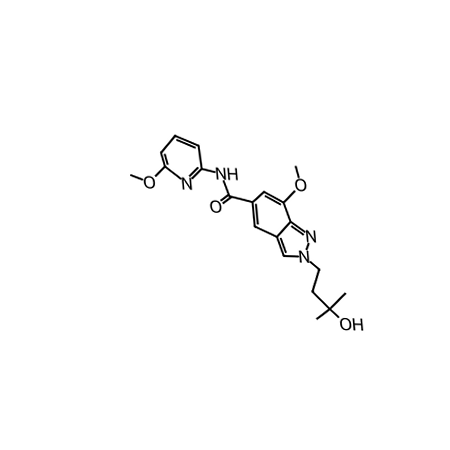 COc1cccc(NC(=O)c2cc(OC)c3nn(CCC(C)(C)O)cc3c2)n1